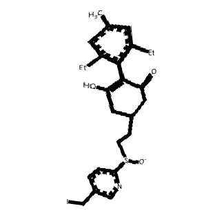 CCc1cc(C)cc(CC)c1C1=C(O)CC(CC[S+]([O-])c2ccc(CI)cn2)CC1=O